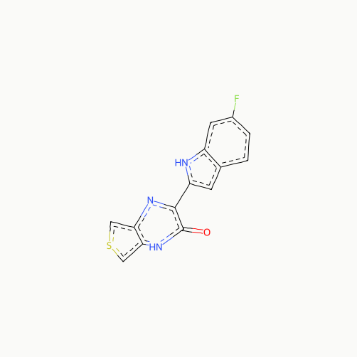 O=c1[nH]c2cscc2nc1-c1cc2ccc(F)cc2[nH]1